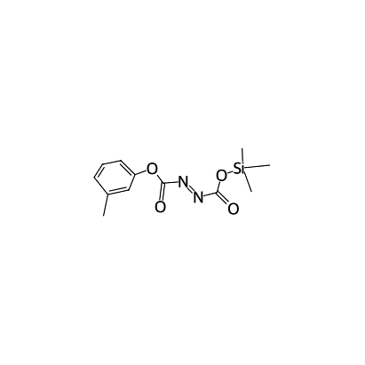 Cc1cccc(OC(=O)N=NC(=O)O[Si](C)(C)C)c1